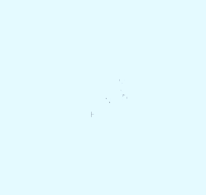 CC(C)c1ccc(S(C)(=O)=O)nc1F